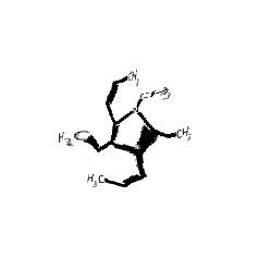 C=Cc1c(/C=C\C)c(C)n(C)c1/C=C\C